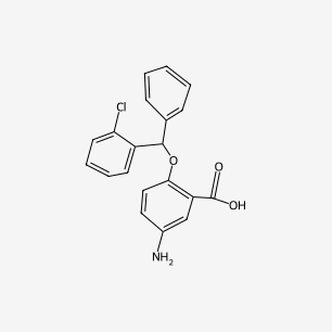 Nc1ccc(OC(c2ccccc2)c2ccccc2Cl)c(C(=O)O)c1